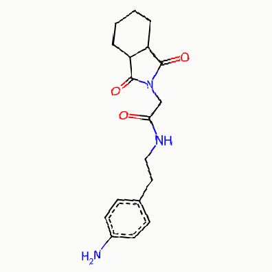 Nc1ccc(CCNC(=O)CN2C(=O)C3CCCCC3C2=O)cc1